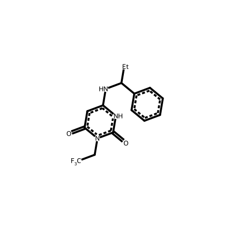 CCC(Nc1cc(=O)n(CC(F)(F)F)c(=O)[nH]1)c1ccccc1